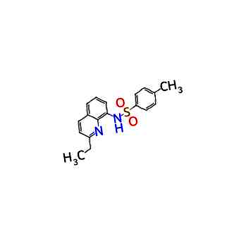 CCc1ccc2cccc(NS(=O)(=O)c3ccc(C)cc3)c2n1